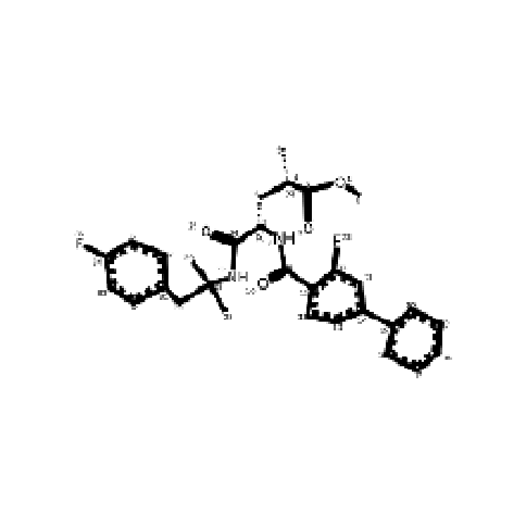 COC(=O)[C@@H](C)C[C@H](NC(=O)c1ccc(-c2ccccc2)cc1F)C(=O)NC(C)(C)Cc1ccc(F)cc1